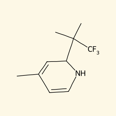 CC1=CC(C(C)(C)C(F)(F)F)NC=C1